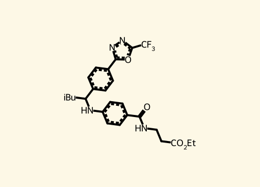 CCOC(=O)CCNC(=O)c1ccc(NC(c2ccc(-c3nnc(C(F)(F)F)o3)cc2)C(C)CC)cc1